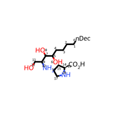 CCCCCCCCCCCCCCC(O)C(O)C(N)CO.O=C(O)[C@@H]1CCCN1